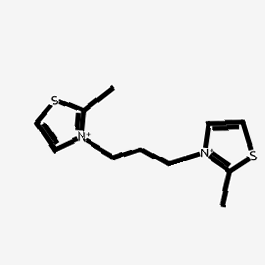 Cc1scc[n+]1CCC[n+]1ccsc1C